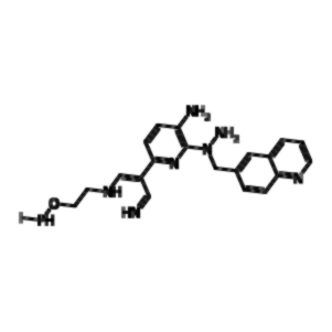 N=C/C(=C\NCCOPI)c1ccc(N)c(N(N)Cc2ccc3ncccc3c2)n1